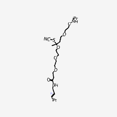 CC(C)/C=C/CNC(=O)CCOCCOCCOC(C)(CCOCCONC(C)C)SC#N